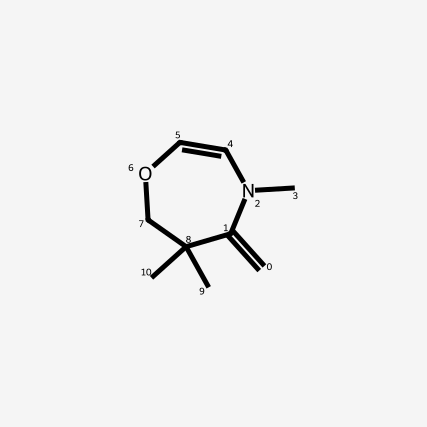 C=C1N(C)C=COCC1(C)C